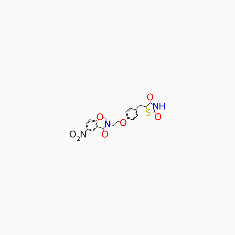 O=C1NC(=O)C(Cc2ccc(OCCN3COc4ccc([N+](=O)[O-])cc4C3=O)cc2)S1